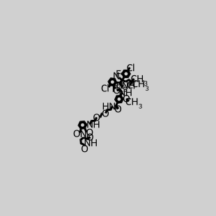 COc1cc(C(=O)NCCOCCOCCNc2cccc3c2C(=O)N(C2CCC(=O)NC2=O)C3=O)ccc1NC(=O)[C@H]1NC(CC(C)(C)C)C(C#N)(c2ccc(Cl)cc2F)C1c1cccc(Cl)c1F